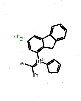 CC(C)[C](C(C)C)=[Hf+2]([C]1=CC=CC1)[c]1cccc2c1Cc1ccccc1-2.[Cl-].[Cl-]